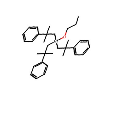 CCC[O][Hf]([CH2]C(C)(C)c1ccccc1)([CH2]C(C)(C)c1ccccc1)[CH2]C(C)(C)c1ccccc1